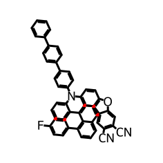 N#Cc1cc2oc3ccc(N(c4ccc(-c5ccc(-c6ccccc6)cc5)cc4)c4ccccc4-c4cccc5cccc(-c6ccc(F)cc6)c45)cc3c2cc1C#N